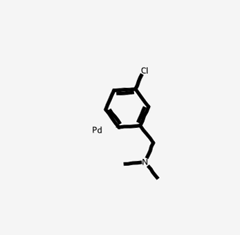 CN(C)Cc1[c]ccc(Cl)c1.[Pd]